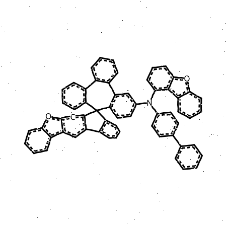 c1ccc(-c2ccc(N(c3ccc4c(c3)-c3ccccc3-c3ccccc3C43c4ccccc4-c4cc5c(cc43)oc3ccccc35)c3cccc4oc5ccccc5c34)cc2)cc1